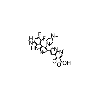 CNc1cc(F)c(F)c2c1[nH]c1ncc(-c3cnc4c(c3)c(=O)c(C(=O)O)cn4C)c(N3CCC(N(C)C)CC3)c12